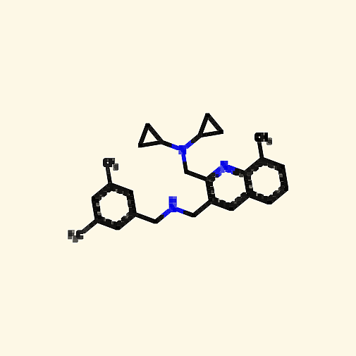 Cc1cccc2cc(CNCc3cc(C(F)(F)F)cc(C(F)(F)F)c3)c(CN(C3CC3)C3CC3)nc12